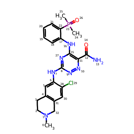 CN1CCc2cc(Nc3nnc(C(N)=O)c(Nc4ccccc4P(C)(C)=O)n3)c(Cl)cc2C1